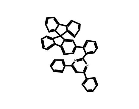 c1ccc(-c2cc(-c3ccccc3)nc(-c3ccccc3-c3ccc4c(c3)C3(c5ccccc5-c5ccccc53)c3ccccc3-4)n2)cc1